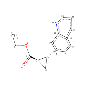 CCOC(=O)[C@@H]1C[C@H]1c1ccc2cccnc2c1